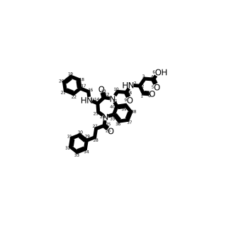 O=CC(CC(=O)O)NC(=O)CN1C(=O)C(NCc2ccccc2)CN(C(=O)CCc2ccccc2)c2ccccc21